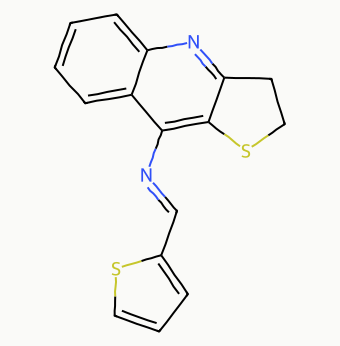 C(=N\c1c2c(nc3ccccc13)CCS2)/c1cccs1